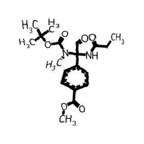 CCC(=O)NC(C=O)(c1ccc(C(=O)OC)cc1)N(C)C(=O)OC(C)(C)C